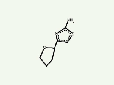 Nc1nc(C2CCCO2)cs1